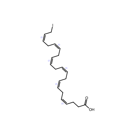 O=C(O)CC/C=C\C/C=C\C/C=C\C/C=C\C/C=C\C/C=C\CI